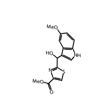 COC(=O)c1csc(C(O)c2c[nH]c3ccc(OC)cc23)n1